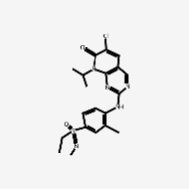 CCS(=O)(=NC)c1ccc(Nc2ncc3cc(Cl)c(=O)n(C(C)C)c3n2)c(C)c1